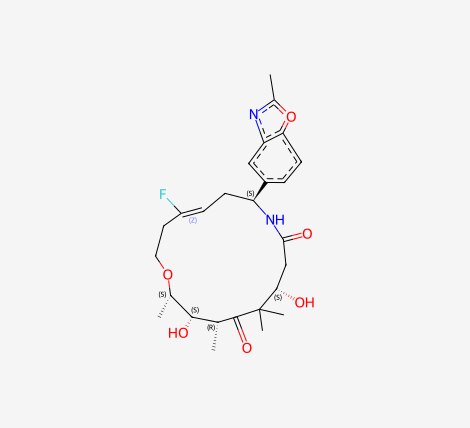 Cc1nc2cc([C@@H]3C/C=C(\F)CCO[C@@H](C)[C@@H](O)[C@@H](C)C(=O)C(C)(C)[C@@H](O)CC(=O)N3)ccc2o1